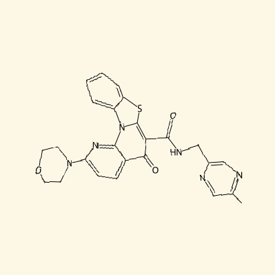 Cc1cnc(CNC(=O)c2c(=O)c3ccc(N4CCOCC4)nc3n3c2sc2ccccc23)cn1